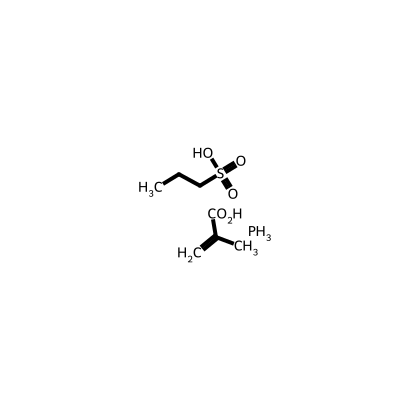 C=C(C)C(=O)O.CCCS(=O)(=O)O.P